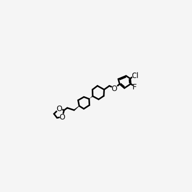 Fc1cc(OCC2CCC([C@H]3CC[C@H](CCC4OCCO4)CC3)CC2)ccc1Cl